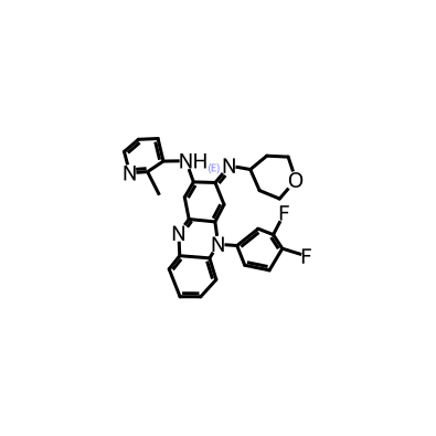 Cc1ncccc1Nc1cc2nc3ccccc3n(-c3ccc(F)c(F)c3)c-2c/c1=N\C1CCOCC1